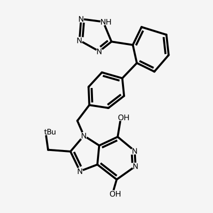 CC(C)(C)Cc1nc2c(O)nnc(O)c2n1Cc1ccc(-c2ccccc2-c2nnn[nH]2)cc1